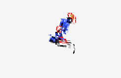 CS(=O)(=O)c1ccc(-n2ncc3c(OC4CCN(C(=O)c5cnccc5C(F)(F)F)CC4)ncnc32)cc1